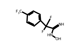 N=C(NO)C(F)(F)c1ccc(C(F)(F)F)cc1